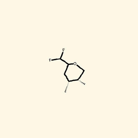 C[C@@H]1CC(C(F)F)OC[C@@H]1C